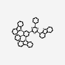 c1ccc(-c2nc(-c3cc(-n4c5ccccc5c5ccccc54)c(-c4ccccc4)c(-n4c5ccccc5c5ccccc54)c3)nc(-c3cccc4c3sc3ccccc34)n2)cc1